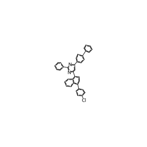 Clc1ccc(-c2ccc(-c3cc(-c4ccc(-c5ccccc5)cc4)nc(-c4ccccc4)n3)c3ccccc23)cc1